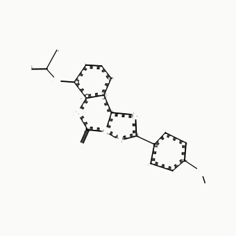 COc1ccc(-c2nc3c4cccc(SC(C)C)c4[nH]c(=O)n3n2)cc1